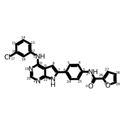 O=C(Nc1ccc(-c2cc3c(Nc4cccc(Cl)c4)ncnc3[nH]2)cc1)c1ccco1